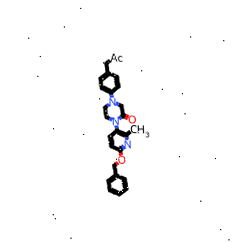 CC(=O)Cc1ccc(N2CCN(c3ccc(OCc4ccccc4)nc3C)C(=O)C2)cc1